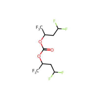 O=C(OC(CC(F)F)C(F)(F)F)OC(CC(F)F)C(F)(F)F